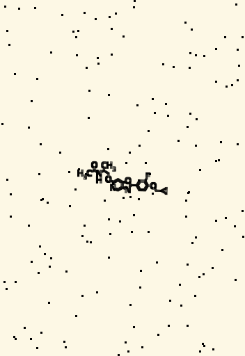 CC(=O)N[C@@H](C)COc1cc2oc(-c3ccc(OCC4CC4)c(F)c3)nc2cn1